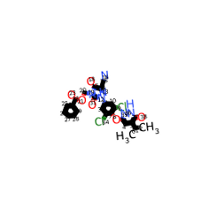 CC(C)c1cc(Oc2c(Cl)cc(-n3nc(C#N)c(=O)n(COC(=O)c4ccccc4)c3=O)cc2Cl)n[nH]c1=O